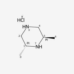 C[C@@H]1CNC[C@@H](C)N1.Cl